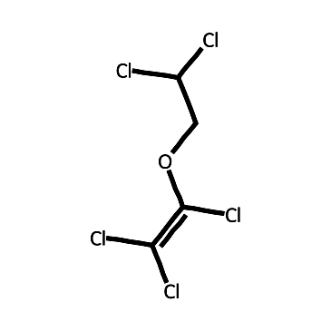 ClC(Cl)=C(Cl)OCC(Cl)Cl